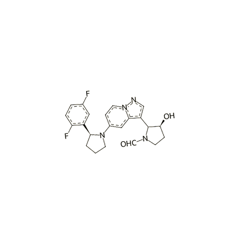 O=CN1CC[C@H](O)C1c1cnn2ccc(N3CCC[C@H]3c3cc(F)ccc3F)cc12